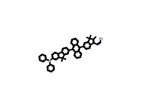 CC/C=C\C1=C(C)C(C)(C)c2cc(-c3c4ccccc4c(-c4ccc5c(c4)C(C)(C)c4cc(N(c6ccccc6)c6ccccc6)ccc4-5)c4ccccc34)ccc21